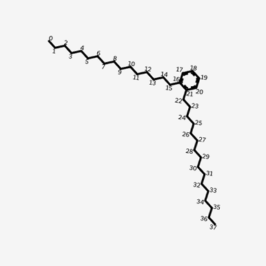 CCCCCCCCCCCCCCCCc1ccccc1CCCCCCCCCCCCCCCC